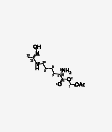 CC(=O)OCOC(=O)[C@@H](N)CCCCNC(C)=NO